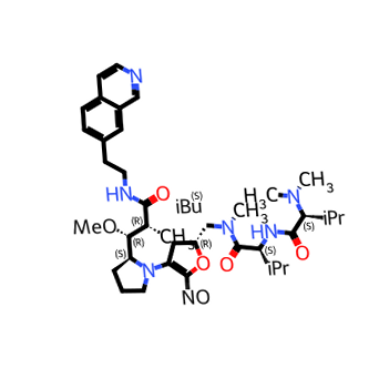 CC[C@H](C)C([C@H]1CC(N2CCC[C@H]2[C@H](OC)[C@@H](C)C(=O)NCCc2ccc3ccncc3c2)=C(N=O)O1)N(C)C(=O)[C@@H](NC(=O)[C@H](C(C)C)N(C)C)C(C)C